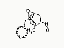 CC=C(Cc1ccccc1)C12CC(N=O)CCN1O2